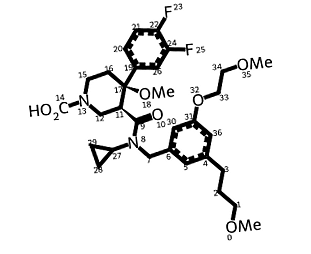 COCCCc1cc(CN(C(=O)[C@H]2CN(C(=O)O)CC[C@]2(OC)c2ccc(F)c(F)c2)C2CC2)cc(OCCOC)c1